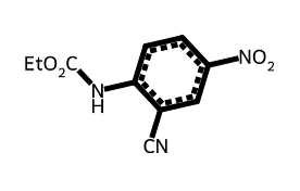 CCOC(=O)Nc1ccc([N+](=O)[O-])cc1C#N